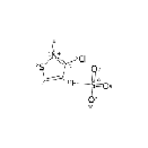 C[n+]1sccc1Cl.O=S(=O)([O-])F